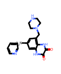 O=c1[nH]c2cc([N+](=O)[O-])cc(CN3CCNCC3)c2[nH]c1=O.c1ccncc1